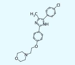 Cc1nc(-c2ccc(OCCN3CCOCC3)cc2)[nH]c1-c1ccc(Cl)cc1